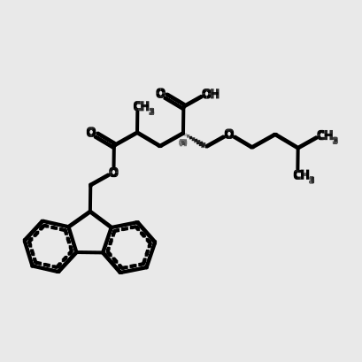 CC(C)CCOC[C@H](CC(C)C(=O)OCC1c2ccccc2-c2ccccc21)C(=O)O